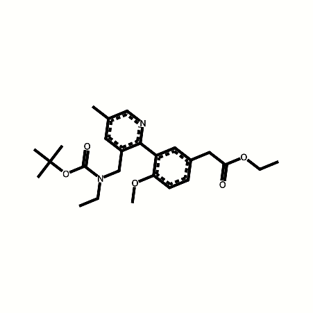 CCOC(=O)Cc1ccc(OC)c(-c2ncc(C)cc2CN(CC)C(=O)OC(C)(C)C)c1